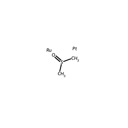 CS(C)=O.[Pt].[Ru]